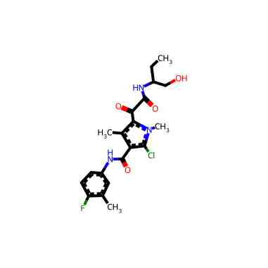 CCC(CO)NC(=O)C(=O)c1c(C)c(C(=O)Nc2ccc(F)c(C)c2)c(Cl)n1C